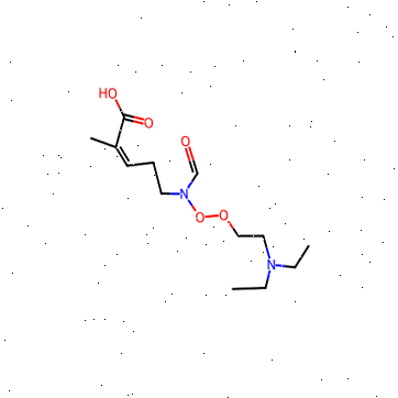 CCN(CC)CCOON(C=O)CCC=C(C)C(=O)O